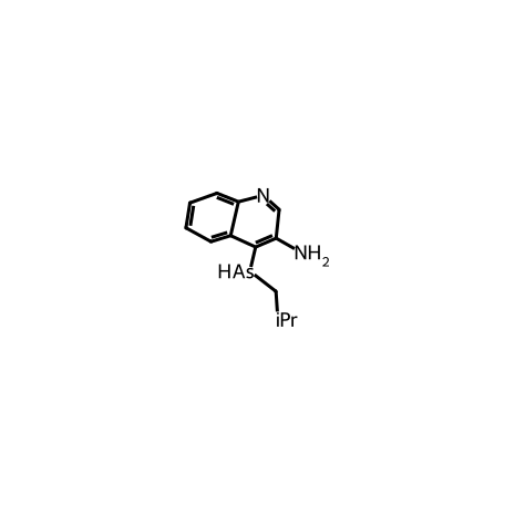 CC(C)C[AsH]c1c(N)cnc2ccccc12